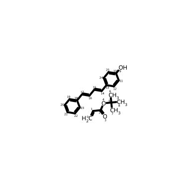 C=CC(=O)OC(C)(C)C.Oc1ccc(C=CC=Cc2ccccc2)cc1